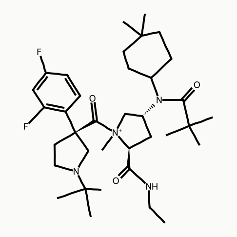 CCNC(=O)[C@@H]1C[C@@H](N(C(=O)C(C)(C)C)C2CCC(C)(C)CC2)C[N+]1(C)C(=O)[C@]1(c2ccc(F)cc2F)CCN(C(C)(C)C)C1